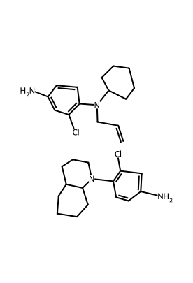 C=CCN(c1ccc(N)cc1Cl)C1CCCCC1.Nc1ccc(N2CCCC3CCCCC32)c(Cl)c1